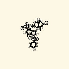 O=C1C[C@@H]2C[C@@H](Nc3c([N+](=O)[O-])cnc4c3ccn4S(=O)(=O)c3ccccc3)C[C@@H]2C1